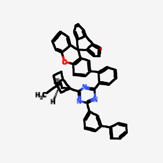 C[C@H]1CC2CC3C2CC3(c2nc(-c3cccc(-c4ccccc4)c3)nc(-c3ccccc3-c3ccc4c(c3)C3(c5ccccc5O4)c4ccccc4-c4ccccc43)n2)C1